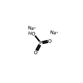 O=P(=O)O.[Na+].[Na+]